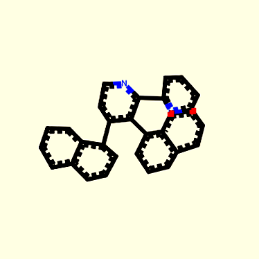 c1ccc(-c2nccc(-c3cccc4ccccc34)c2-c2cccc3ccccc23)nc1